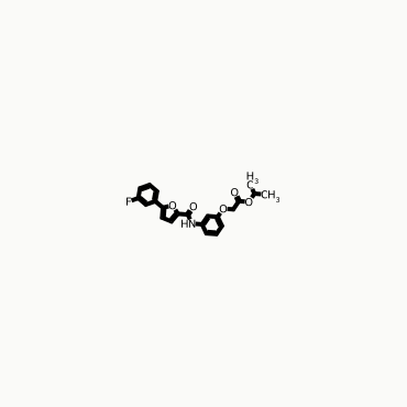 CC(C)OC(=O)COc1cccc(NC(=O)c2ccc(-c3cccc(F)c3)o2)c1